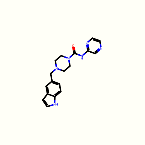 O=C(Nc1cnccn1)N1CCN(Cc2ccc3[nH]ccc3c2)CC1